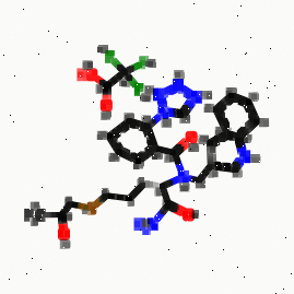 NC(=O)[C@H](CCCSCC(=O)C(F)(F)F)N(Cc1cnc2ccccc2c1)C(=O)c1ccccc1-n1cnnn1.O=C(O)C(F)(F)F